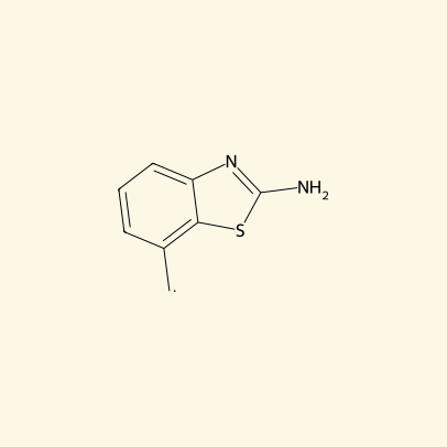 [CH2]c1cccc2nc(N)sc12